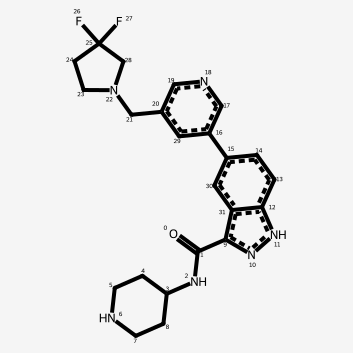 O=C(NC1CCNCC1)c1n[nH]c2ccc(-c3cncc(CN4CCC(F)(F)C4)c3)cc12